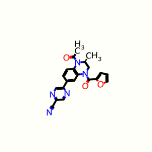 CC(=O)N1c2ccc(-c3cnc(C#N)cn3)cc2N(C(=O)c2ccco2)C[C@@H]1C